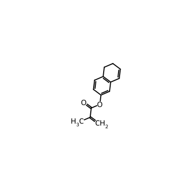 C=C(C)C(=O)Oc1ccc2c(c1)C=CCC2